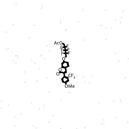 COc1ccc(-c2cc3ccc(OCC(F)(F)C(F)(F)C(F)(F)COC(C)=O)cc3oc2=O)c(C(F)(F)F)c1